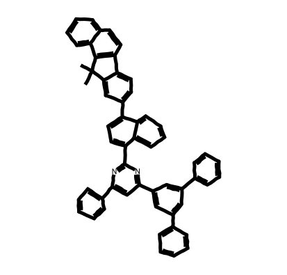 CC1(C)c2cc(-c3ccc(-c4nc(-c5ccccc5)cc(-c5cc(-c6ccccc6)cc(-c6ccccc6)c5)n4)c4ccccc34)ccc2-c2ccc3ccccc3c21